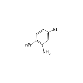 CCCc1ccc(CC)cc1N